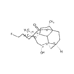 CO[C@@H]1CCC23CC[C@H]4C[C@@]4(C12)[C@H](O)C[C@@](C)(CCCF)C(=O)[C@@H]3C